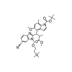 COC(=O)C(C)C(c1c(OC)cc(C)c2c1ccn2C(=O)OC(C)(C)C)c1nc2ccc(C#N)cc2n1COCC[Si](C)(C)C